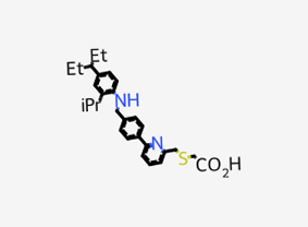 CCC(CC)c1ccc(NCc2ccc(-c3cccc(CSCC(=O)O)n3)cc2)c(C(C)C)c1